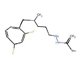 C=C(NNCCCC(C)CC1=CC=CC(F)C=C1F)C(C)C